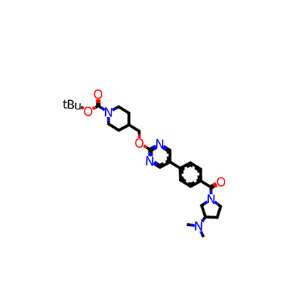 CN(C)C1CCN(C(=O)c2ccc(-c3cnc(OCC4CCN(C(=O)OC(C)(C)C)CC4)nc3)cc2)C1